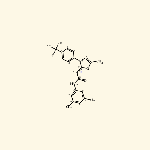 Cc1cn(-c2ccc(C(F)(F)F)cc2)/c(=N/C(=O)Nc2cc(Cl)cc(Cl)c2)s1